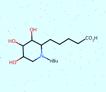 CCCCN1CC(O)C(O)C(O)C1CCCCC(=O)O